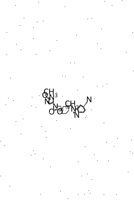 COc1ncc(N2C[C@@]3(CCC[C@](C)(Cn4cnc5ccc(C#N)cc54)C3)OC2=O)cn1